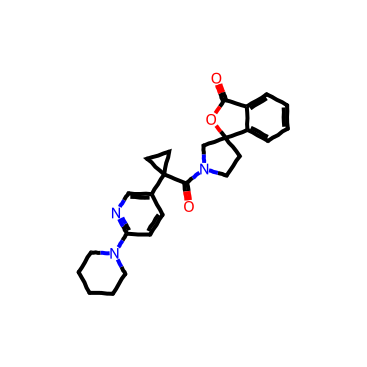 O=C1OC2(CCN(C(=O)C3(c4ccc(N5CCCCC5)nc4)CC3)C2)c2ccccc21